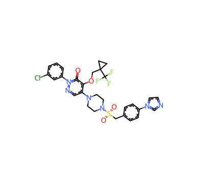 O=c1c(OCC2(C(F)(F)F)CC2)c(N2CCN(S(=O)(=O)Cc3ccc(-n4ccnc4)cc3)CC2)cnn1-c1cccc(Cl)c1